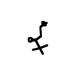 CC(C)(C)C(=O)CCBr